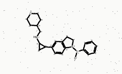 [O-][S+](c1ccccc1)N1CCc2cc(C3CC3NCC3CCOCC3)ccc21